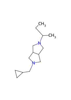 CCC(C)N1CC2CN(CC3CC3)CC2C1